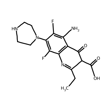 CCC1=Nc2c(F)c(N3CCNCC3)c(F)c(N)c2C(=O)C1C(=O)O